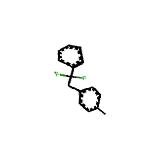 Cc1ccc(CC(F)(F)c2ccccc2)cc1